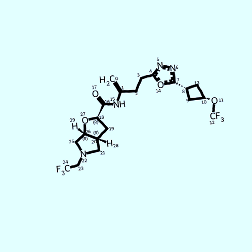 C=C(CCc1nnc([C@H]2C[C@@H](OC(F)(F)F)C2)o1)NC(=O)[C@H]1C[C@@H]2CN(CC(F)(F)F)C[C@@H]2O1